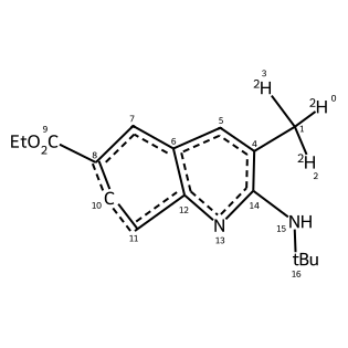 [2H]C([2H])([2H])c1cc2cc(C(=O)OCC)ccc2nc1NC(C)(C)C